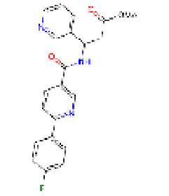 COC(=O)CC(NC(=O)c1ccc(-c2ccc(F)cc2)nc1)c1cccnc1